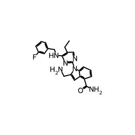 CCc1cnc(-n2c(CN)cc3c(C(N)=O)cccc32)nc1NCc1cccc(F)c1